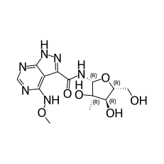 CONc1ncnc2[nH]nc(C(=O)N[C@@H]3O[C@H](CO)[C@@H](O)[C@@]3(C)O)c12